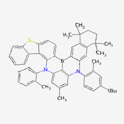 Cc1cc2c3c(c1)N(c1ccccc1C)c1c(ccc4sc5ccccc5c14)B3c1cc3c(cc1N2c1ccc(C(C)(C)C)cc1C)C(C)(C)CCC3(C)C